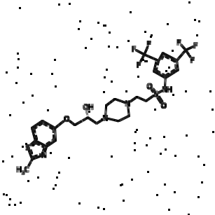 Cc1nc2cc(OC[C@H](O)CN3CCN(CCS(=O)(=O)Nc4cc(C(F)(F)F)cc(C(F)(F)F)c4)CC3)ccc2s1